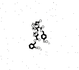 C[C@]1(Cn2cc(C(=O)OCc3ccccc3[N+](=O)[O-])nn2)[C@H](C(=O)OCc2ccc([N+](=O)[O-])cc2)N2C(=O)C[C@H]2S1(=O)=O